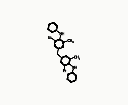 CCc1cc(Cc2cc(C)c(Nc3ccccc3)c(CC)c2)cc(C)c1Nc1ccccc1